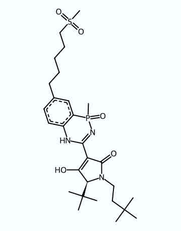 CC(C)(C)CCN1C(=O)C(C2=NP(C)(=O)c3cc(CCCCCS(C)(=O)=O)ccc3N2)=C(O)[C@@H]1C(C)(C)C